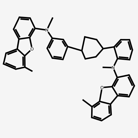 Cc1cccc2c1oc1c(N(C)c3cccc(C4CCC(c5ccccc5N(C)c5cccc6c5oc5c(C)cccc56)CC4)c3)cccc12